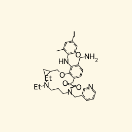 CCN(CC)CCCN(Cc1cccnc1)S(=O)(=O)c1ccc(C(N)=O)c(Nc2ccc(I)cc2C)c1OCC1CC1